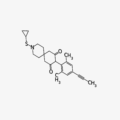 CC#Cc1cc(C)c(C2C(=O)CC3(CCN(SC4CC4)CC3)CC2=O)c(C)c1